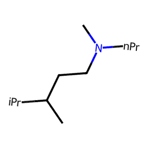 CCCN(C)CCC(C)C(C)C